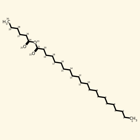 CCCCCCCCCCCCCCCCCCCCCC(=O)OC(=O)CCCCC